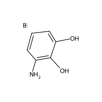 Nc1cccc(O)c1O.[B]